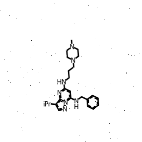 CC(C)c1cnn2c(NCc3ccccc3)cc(NCCCN3CCN(C)CC3)nc12